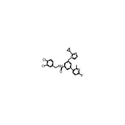 Cc1nc(F)ccc1-c1cc(Cn2ccnc2C2CC2)cc(C(=O)NCc2ccc(Cl)c(Cl)c2)c1